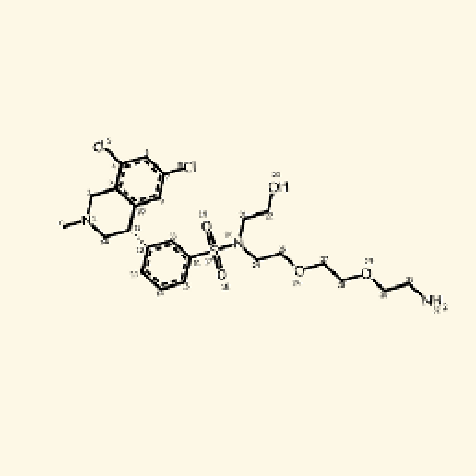 CN1Cc2c(Cl)cc(Cl)cc2[C@H](c2cccc(S(=O)(=O)N(CCO)CCOCCOCCN)c2)C1